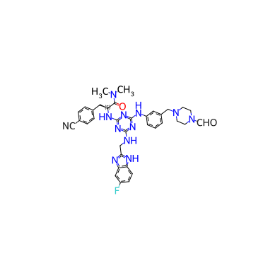 CN(C)C(=O)[C@H](Cc1ccc(C#N)cc1)Nc1nc(NCc2nc3cc(F)ccc3[nH]2)nc(Nc2cccc(CN3CCN(C=O)CC3)c2)n1